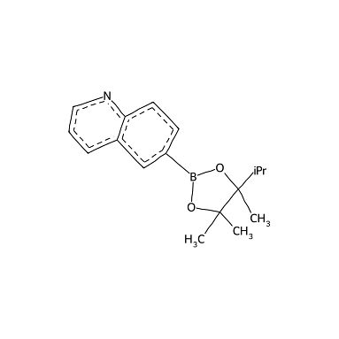 CC(C)C1(C)OB(c2ccc3ncccc3c2)OC1(C)C